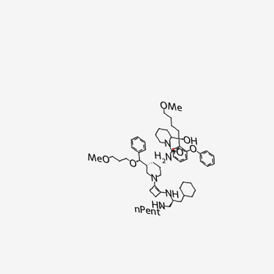 CCCCCNC[C@H](CC1CCCCC1)NC1=C(N2CCC[C@@H]([C@@H](OCCCOC)c3ccccc3)C2)CC1.COCCCC[C@](O)(c1ccccc1Oc1ccccc1)C1CCCCN1C(N)=O